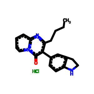 CCCCc1nc2ccccn2c(=O)c1-c1ccc2c(c1)CCN2.Cl